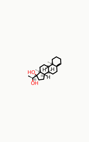 C[C@H](O)[C@@]1(O)CC[C@H]2[C@@H]3CCC4=CCCC[C@]4(C)[C@H]3CC[C@@]21C